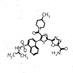 CC1CCN(C(=O)c2nc(-c3nnc(C(N)=O)o3)sc2-c2ccc(S(=O)(=O)NC(C)C)c3ccccc23)CC1